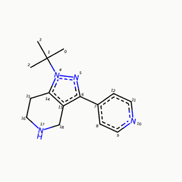 CC(C)(C)n1nc(-c2ccncc2)c2c1CCNC2